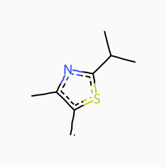 [CH2]c1sc(C(C)C)nc1C